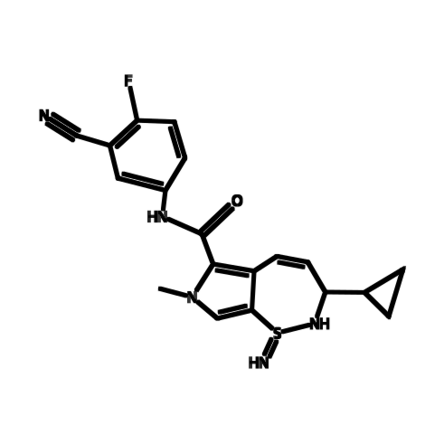 Cn1cc2c(c1C(=O)Nc1ccc(F)c(C#N)c1)C=CC(C1CC1)NS2=N